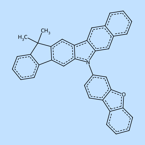 CC1(C)c2ccccc2-c2cc3c(cc21)c1cc2ccccc2cc1n3-c1ccc2c(c1)oc1ccccc12